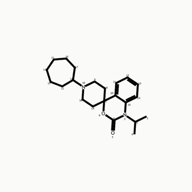 CC(C)N1C(=O)OC2(CCN(C3CCCCCC3)CC2)c2ccccc21